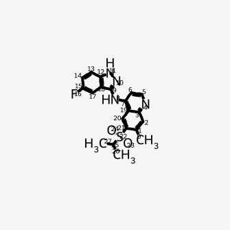 Cc1cc2nccc(Nc3n[nH]c4ccc(F)cc34)c2cc1S(=O)(=O)C(C)C